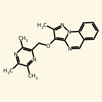 Cc1nc(C)c(COc2c(C)nn3c2ncc2ccccc23)nc1C